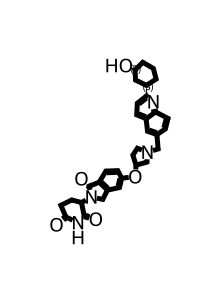 O=C1CCC(N2Cc3cc(OC4CCN(Cc5ccc6nc([C@H]7CCC[C@@H](O)C7)ccc6c5)C4)ccc3C2=O)C(=O)N1